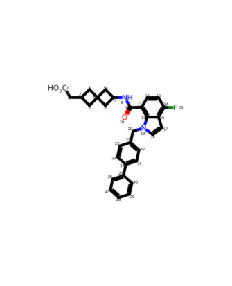 O=C(O)CC1CC2(C1)CC(NC(=O)c1ccc(F)c3ccn(Cc4ccc(-c5ccccc5)cc4)c13)C2